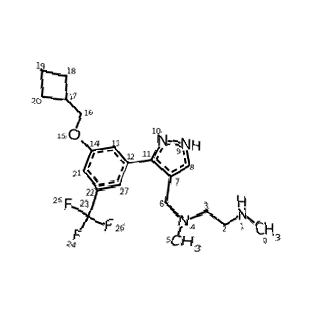 CNCCN(C)Cc1c[nH]nc1-c1cc(OCC2CCC2)cc(C(F)(F)F)c1